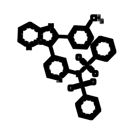 Cc1cccc(-c2nc3cccnn3c2-c2ccnc(N(S(=O)(=O)c3ccccc3)S(=O)(=O)c3ccccc3)c2)c1